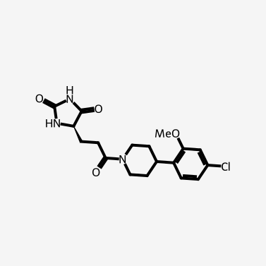 COc1cc(Cl)ccc1C1CCN(C(=O)CC[C@H]2NC(=O)NC2=O)CC1